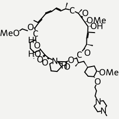 COCCO[C@@H]1C[C@@H]2CC[C@@H](C)[C@@](O)(O2)C(=O)C(=O)N2CCCC[C@H]2C(=O)O[C@H]([C@H](C)C[C@@H]2CC[C@@H](OCCCN3CCN(C)CC3)[C@H](OC)C2)CC(=O)[C@H](C)/C=C(\C)[C@@H](O)[C@@H](OC)C(=O)[C@H](C)C[C@H](C)/C=C/C=C/C=C/1C